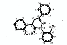 O=C1C(c2ccccc2O)CC(c2ccccn2)=NN1c1ccccc1Br